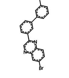 Cc1cccc(-c2cccc(-c3cnc4cc(Br)ccc4n3)c2)c1